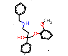 COc1ccccc1OCC(O)(CCNCc1ccccc1)c1ccccc1